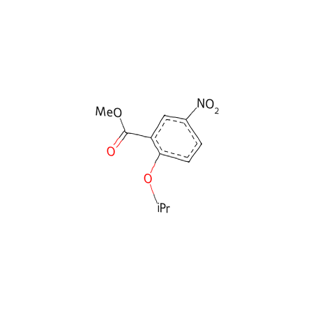 COC(=O)c1cc([N+](=O)[O-])ccc1OC(C)C